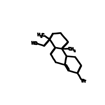 CC(C)C1C=C2CCC3C(C)(CO)CCCC3(C)C2CC1